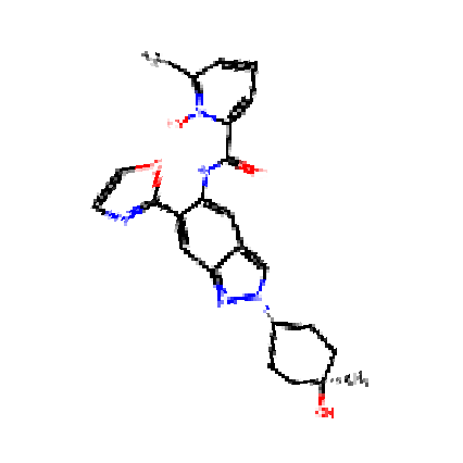 Cc1cccc(C(=O)Nc2cc3cn([C@H]4CC[C@](C)(O)CC4)nc3cc2-c2ncco2)[n+]1O